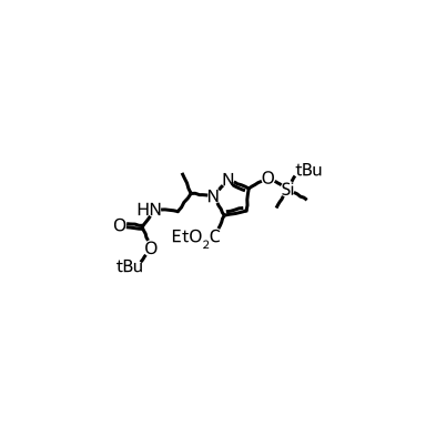 CCOC(=O)c1cc(O[Si](C)(C)C(C)(C)C)nn1C(C)CNC(=O)OC(C)(C)C